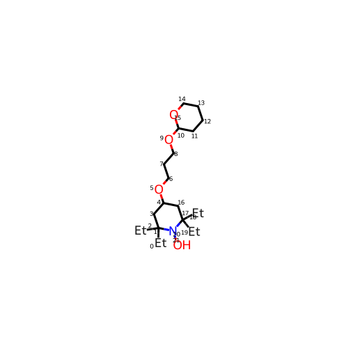 CCC1(CC)CC(OCCCOC2CCCCO2)CC(CC)(CC)N1O